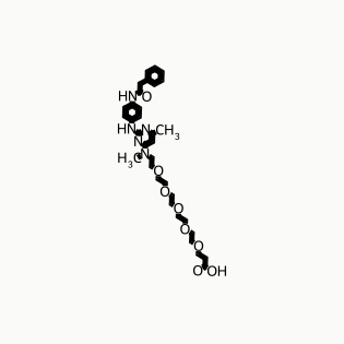 Cc1cc(N(C)CCOCCOCCOCCOCCOCCC(=O)O)nc(Nc2ccc(NC(=O)Cc3ccccc3)cc2)n1